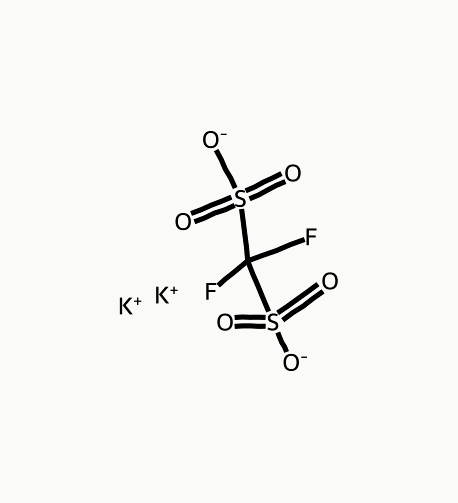 O=S(=O)([O-])C(F)(F)S(=O)(=O)[O-].[K+].[K+]